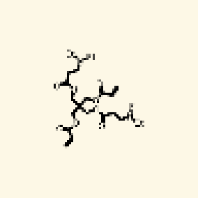 C=CC(=O)OCC(COC(=O)C=C)(COC(=O)CCN(CC)CC)COC(=O)CCN(CC)CC